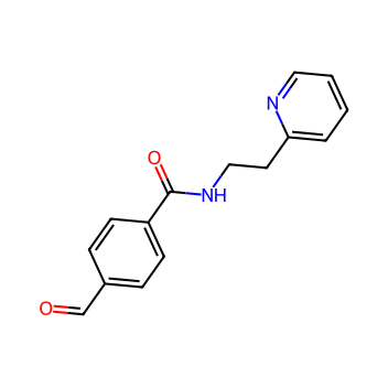 O=Cc1ccc(C(=O)NCCc2ccccn2)cc1